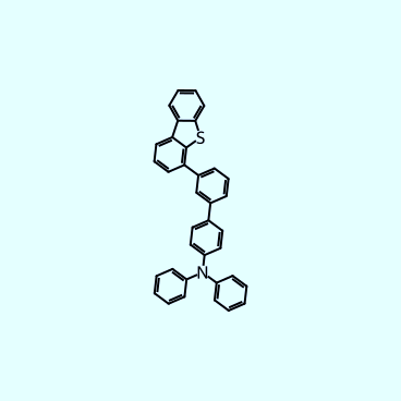 c1ccc(N(c2ccccc2)c2ccc(-c3cccc(-c4cccc5c4sc4ccccc45)c3)cc2)cc1